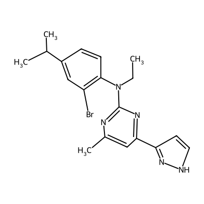 CCN(c1nc(C)cc(-c2cc[nH]n2)n1)c1ccc(C(C)C)cc1Br